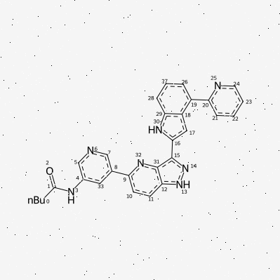 CCCCC(=O)Nc1cncc(-c2ccc3[nH]nc(-c4cc5c(-c6ccccn6)cccc5[nH]4)c3n2)c1